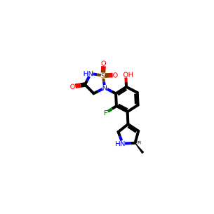 C[C@@H]1C=C(c2ccc(O)c(N3CC(=O)NS3(=O)=O)c2F)CN1